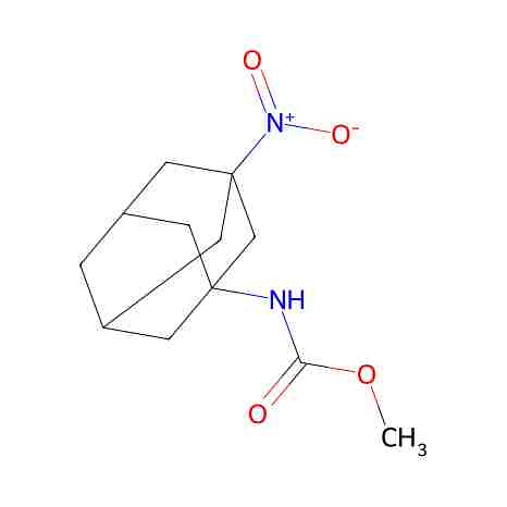 COC(=O)NC12CC3CC(C1)CC([N+](=O)[O-])(C3)C2